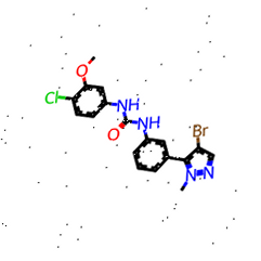 COc1cc(NC(=O)Nc2cccc(-c3c(Br)cnn3C)c2)ccc1Cl